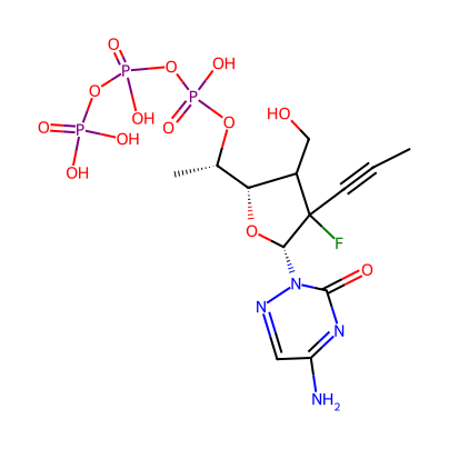 CC#CC1(F)C(CO)[C@@H]([C@H](C)OP(=O)(O)OP(=O)(O)OP(=O)(O)O)O[C@H]1n1ncc(N)nc1=O